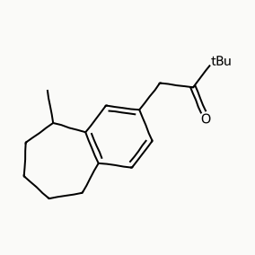 CC1CCCCc2ccc(CC(=O)C(C)(C)C)cc21